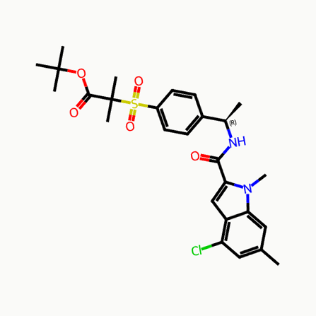 Cc1cc(Cl)c2cc(C(=O)N[C@H](C)c3ccc(S(=O)(=O)C(C)(C)C(=O)OC(C)(C)C)cc3)n(C)c2c1